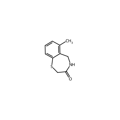 Cc1cccc2c1CNC(=O)CS2